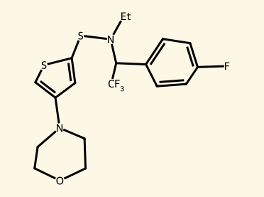 CCN(Sc1cc(N2CCOCC2)cs1)C(c1ccc(F)cc1)C(F)(F)F